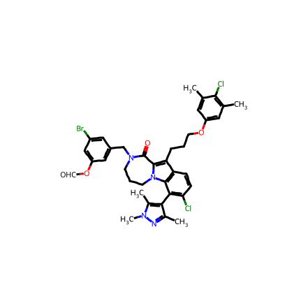 Cc1cc(OCCCc2c3n(c4c(-c5c(C)nn(C)c5C)c(Cl)ccc24)CCCN(Cc2cc(Br)cc(OC=O)c2)C3=O)cc(C)c1Cl